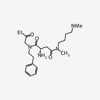 CCC(=O)CN(CCc1ccccc1)C(=O)[C@H](N)CC(=O)N(C)CCCCNC